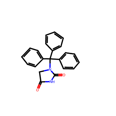 O=C1CN(C(c2ccccc2)(c2ccccc2)c2ccccc2)C(=O)N1